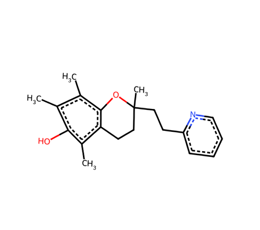 Cc1c(C)c2c(c(C)c1O)CCC(C)(CCc1ccccn1)O2